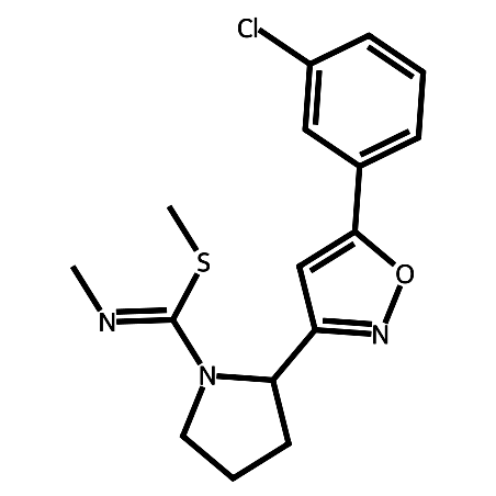 CN=C(SC)N1CCCC1c1cc(-c2cccc(Cl)c2)on1